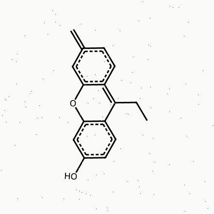 C=c1ccc2c(c1)Oc1cc(O)ccc1C=2CC